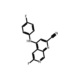 N#Cc1cc(Nc2ccc(F)cc2)c2cc(F)ncc2n1